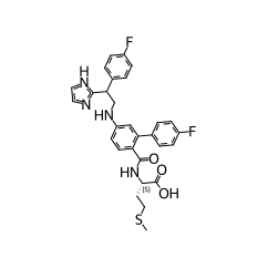 CSCC[C@H](NC(=O)c1ccc(NCC(c2ccc(F)cc2)c2ncc[nH]2)cc1-c1ccc(F)cc1)C(=O)O